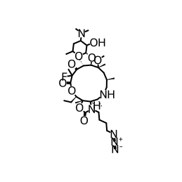 CC[C@H]1OC(=O)C(C)(F)C(=O)[C@H](C)[C@@H](O[C@@H]2OC(C)CC(N(C)C)C2O)[C@](C)(OC)C[C@@H](C)CN[C@H](C)[C@H]2N(CCCCN=[N+]=[N-])C(=O)O[C@]12C